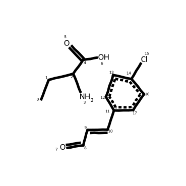 CCC(N)C(=O)O.O=CC=Cc1ccc(Cl)cc1